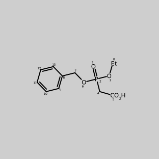 CCOP(=O)(CC(=O)O)OCc1ccccc1